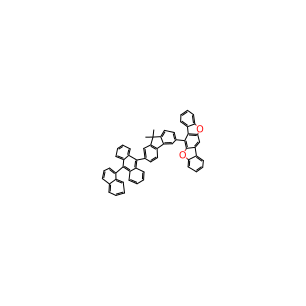 CC1(C)c2ccc(-c3c4oc5ccccc5c4cc4oc5ccccc5c34)cc2-c2ccc(-c3c4ccccc4c(-c4cccc5ccccc45)c4ccccc34)cc21